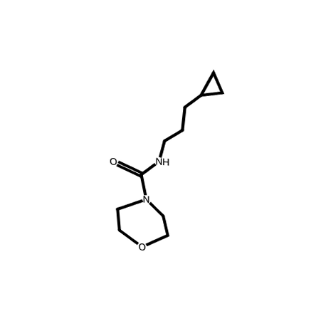 O=C(NCCCC1CC1)N1CCOCC1